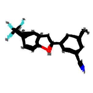 Cc1cc(C#N)cc(C2Cc3cc(C(F)(F)F)ccc3O2)c1